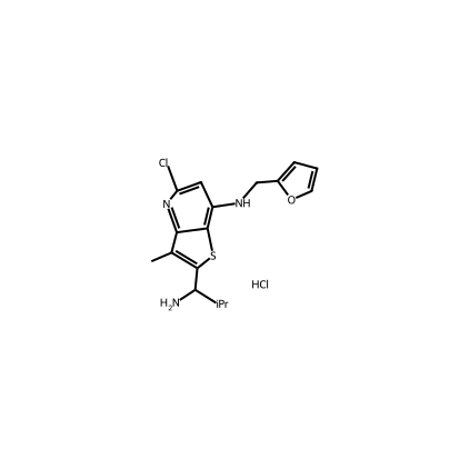 Cc1c(C(N)C(C)C)sc2c(NCc3ccco3)cc(Cl)nc12.Cl